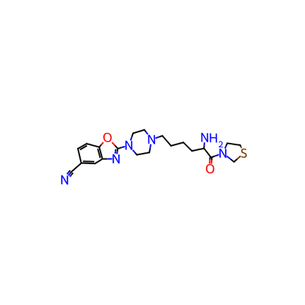 N#Cc1ccc2oc(N3CCN(CCCCC(N)C(=O)N4CCSC4)CC3)nc2c1